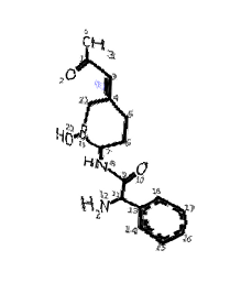 CC(=O)/C=C1/CCC(NC(=O)C(N)c2ccccc2)B(O)C1